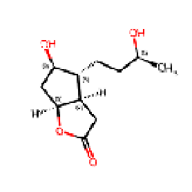 C[C@H](O)CC[C@@H]1[C@H]2CC(=O)O[C@H]2C[C@H]1O